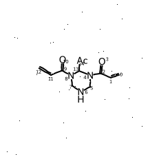 C=CC(=O)N1CNCN(C(=O)C=C)C1C(C)=O